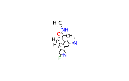 CCCNC(=O)/C(C)=C(\C)c1cc(C#N)cc(-c2ccc(F)nc2)c1C